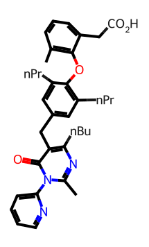 CCCCc1nc(C)n(-c2ccccn2)c(=O)c1Cc1cc(CCC)c(Oc2c(C)cccc2CC(=O)O)c(CCC)c1